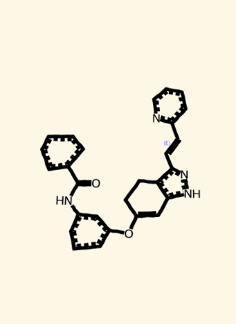 O=C(Nc1cccc(OC2=Cc3[nH]nc(/C=C/c4ccccn4)c3CC2)c1)c1ccccc1